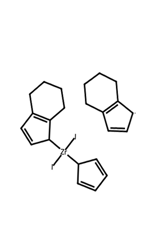 [CH]1C=CC2=C1CCCC2.[I][Zr]([I])([CH]1C=CC=C1)[CH]1C=CC2=C1CCCC2